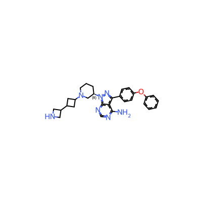 Nc1ncnc2c1c(-c1ccc(Oc3ccccc3)cc1)nn2[C@@H]1CCCN(C2CC(C3CNC3)C2)C1